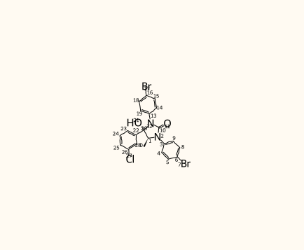 C[C@@H]1N(c2ccc(Br)cc2)C(=O)N(c2ccc(Br)cc2)C1(O)c1cccc(Cl)c1